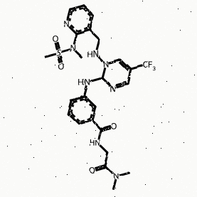 CN(C)C(=O)CNC(=O)c1cccc(NC2N=CC(C(F)(F)F)=CN2NCc2cccnc2N(C)S(C)(=O)=O)c1